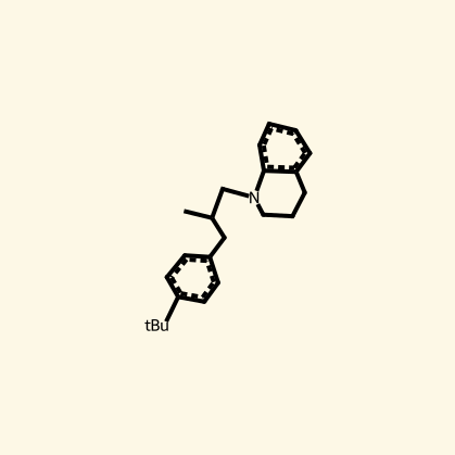 CC(Cc1ccc(C(C)(C)C)cc1)CN1CCCc2ccccc21